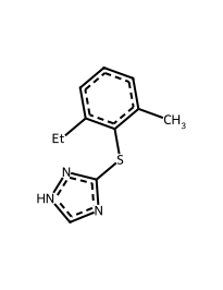 CCc1cccc(C)c1Sc1nc[nH]n1